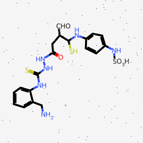 NCc1ccccc1NC(=S)NNC(=O)CC(C=O)C(S)Nc1ccc(NS(=O)(=O)O)cc1